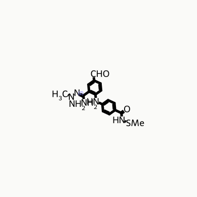 CSNC(=O)c1ccc(Nc2ccc(C=O)cc2/C(N)=N/N(C)N)cc1